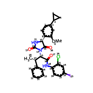 COc1cc(C2CC2)ccc1[C@H]1NC(=O)N([C@H](C(=O)Nc2ccc(I)cc2Cl)[C@@H](C)c2ccccc2)C1=O